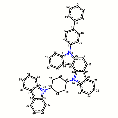 c1ccc(-c2ccc(-n3c4ccccc4c4c3ccc3c5ccccc5n(C5CCC(n6c7ccccc7c7ccccc76)CC5)c34)cc2)cc1